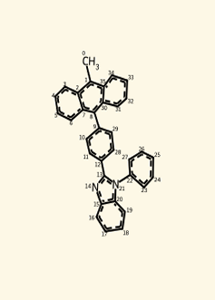 Cc1c2ccccc2c(-c2ccc(-c3nc4ccccc4n3-c3ccccc3)cc2)c2ccccc12